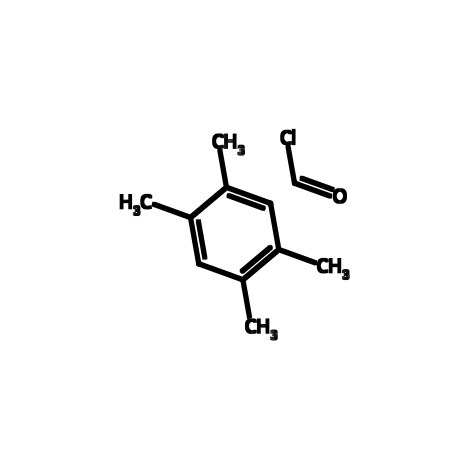 Cc1cc(C)c(C)cc1C.O=CCl